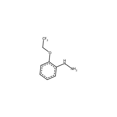 NNc1ccccc1OCC(F)(F)F